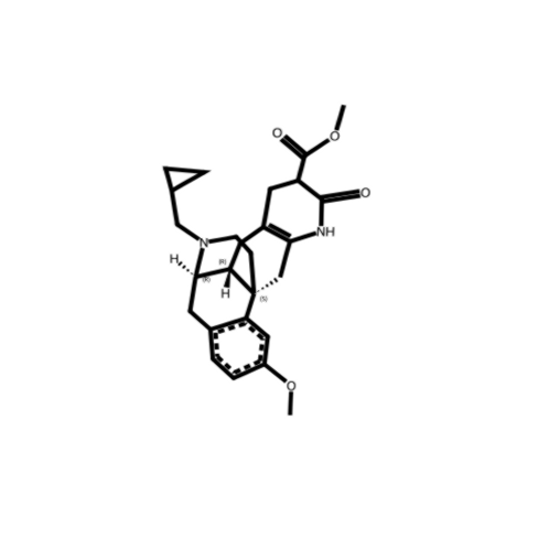 COC(=O)C1CC2=C(C[C@]34CCN(CC5CC5)[C@H](Cc5ccc(OC)cc53)[C@@H]4C2)NC1=O